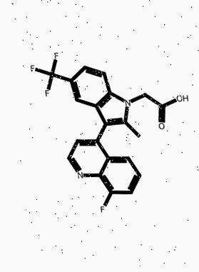 Cc1c(-c2ccnc3c(F)cccc23)c2cc(C(F)(F)F)ccc2n1CC(=O)O